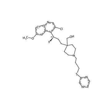 COc1ccc2ncc(Cl)c([C@H](F)CCC3(CO)CCN(CCCSc4cnccn4)CC3)c2c1